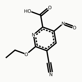 CCOc1nc(C(=O)O)c(N=O)cc1C#N